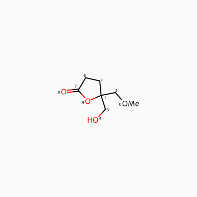 COCC1(CO)CCC(=O)O1